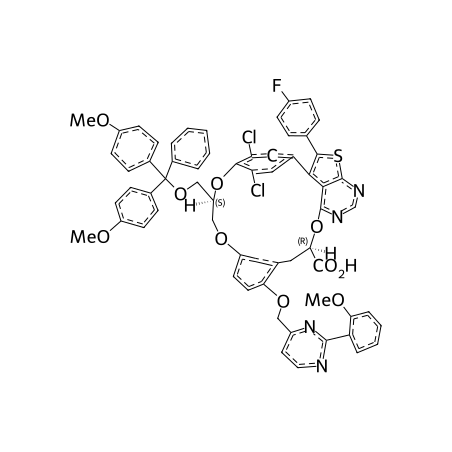 COc1ccc(C(OC[C@@H]2COc3ccc(OCc4ccnc(-c5ccccc5OC)n4)c(c3)C[C@H](C(=O)O)Oc3ncnc4sc(-c5ccc(F)cc5)c(c34)-c3cc(Cl)c(c(Cl)c3)O2)(c2ccccc2)c2ccc(OC)cc2)cc1